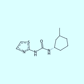 CC1CCC[C@H](NC(=O)Nc2nccs2)C1